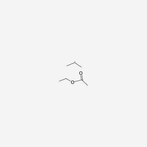 CCOC(C)=O.C[CH]C